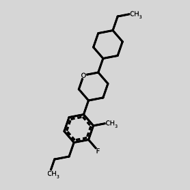 CCCc1ccc(C2CCC(C3CCC(CC)CC3)OC2)c(C)c1F